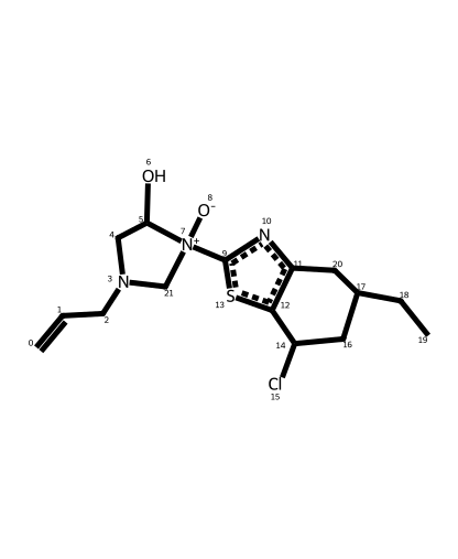 C=CCN1CC(O)[N+]([O-])(c2nc3c(s2)C(Cl)CC(CC)C3)C1